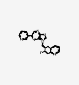 FC1=Cc2ncccc2CC1=Cn1cnc2ncc(-c3cccnc3)nc21